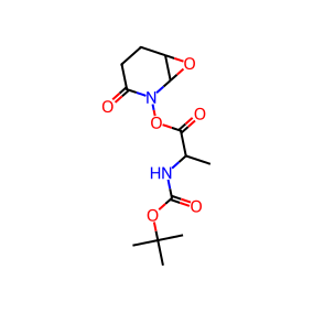 CC(NC(=O)OC(C)(C)C)C(=O)ON1C(=O)CCC2OC21